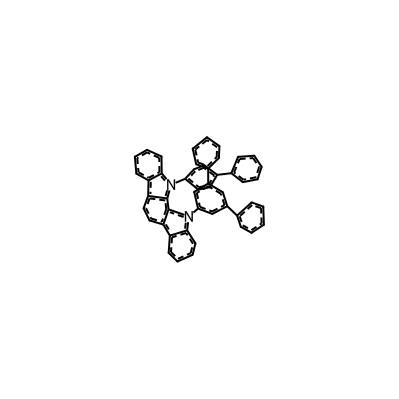 c1ccc(-c2ccc(-n3c4ccccc4c4ccc5c6ccccc6n(-c6cc(-c7ccccc7)cc(-c7ccccc7)c6)c5c43)cc2)cc1